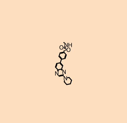 CNS(=O)(=O)c1ccc(-c2ccc3ncc(N4CCCCC4)nc3c2)cc1